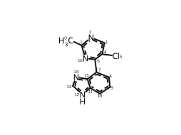 Cc1ncc(Cl)c(-c2cccc3[nH]cnc23)n1